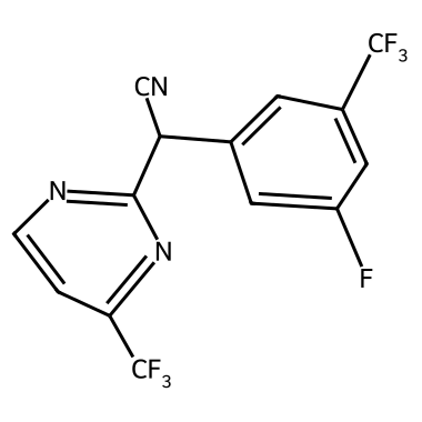 N#CC(c1cc(F)cc(C(F)(F)F)c1)c1nccc(C(F)(F)F)n1